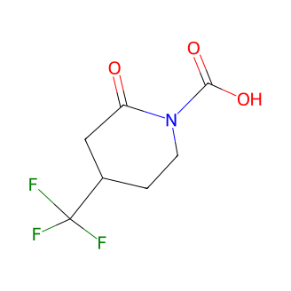 O=C(O)N1CCC(C(F)(F)F)CC1=O